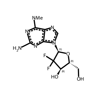 CNc1nc(N)nc2c1ncn2[C@H]1O[C@H](CO)[C@@H](O)C1(F)F